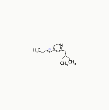 CC/C=C/c1ccnc(CC(CC)CC)c1